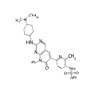 CCCS(=O)(=O)Nc1ccc(-c2cc3cnc(NC4CCC(N(C)C)CC4)nc3n(C(C)C)c2=O)nc1C